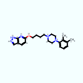 Cc1cccc(N2CCN(CCCCOc3ccc4cn[nH]c4n3)CC2)c1C